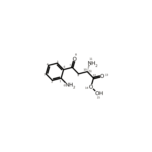 Nc1ccccc1C(=O)C[C@H](N)C(=O)OO